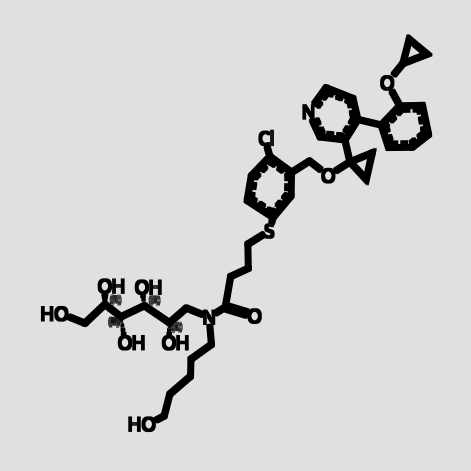 O=C(CCCSc1ccc(Cl)c(COC2(c3cnccc3-c3ccccc3OC3CC3)CC2)c1)N(CCCCCO)C[C@H](O)[C@@H](O)[C@H](O)[C@H](O)CO